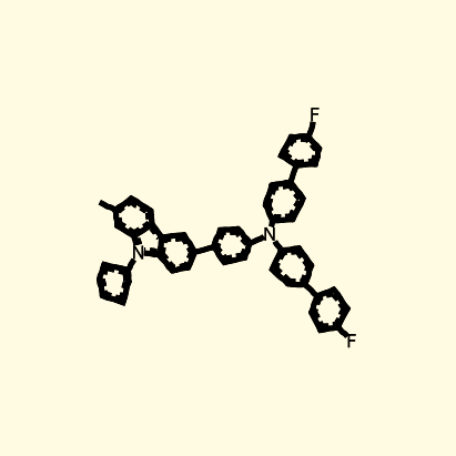 Cc1ccc2c3cc(-c4ccc(N(c5ccc(-c6ccc(F)cc6)cc5)c5ccc(-c6ccc(F)cc6)cc5)cc4)ccc3n(-c3ccccc3)c2c1